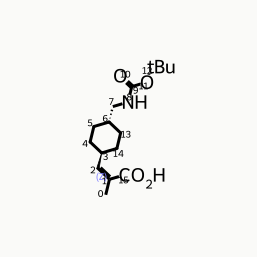 C/C(=C/[C@H]1CC[C@H](CNC(=O)OC(C)(C)C)CC1)C(=O)O